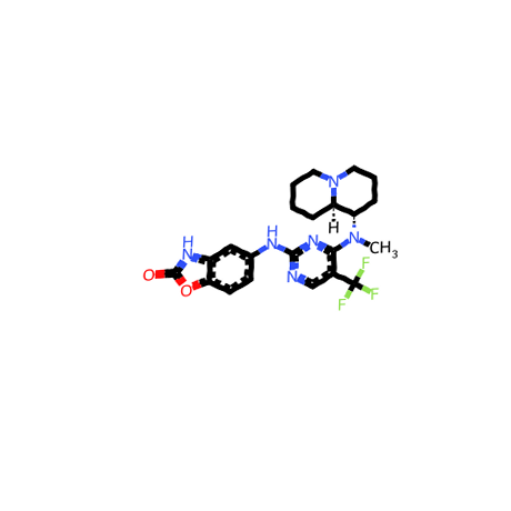 CN(c1nc(Nc2ccc3oc(=O)[nH]c3c2)ncc1C(F)(F)F)[C@H]1CCCN2CCCC[C@H]12